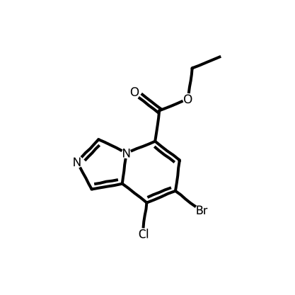 CCOC(=O)c1cc(Br)c(Cl)c2cncn12